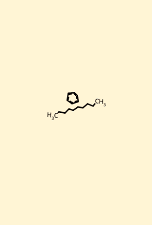 CCCCCCCCCC.c1ccccc1